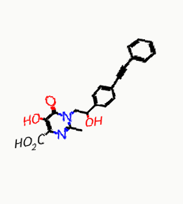 Cc1nc(C(=O)O)c(O)c(=O)n1CC(O)c1ccc(C#Cc2ccccc2)cc1